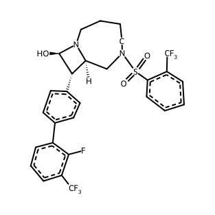 O=S(=O)(c1ccccc1C(F)(F)F)N1CCCCN2[C@H](O)[C@@H](c3ccc(-c4cccc(C(F)(F)F)c4F)cc3)[C@@H]2C1